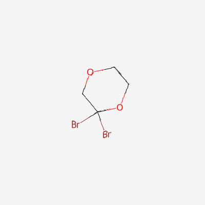 BrC1(Br)COCCO1